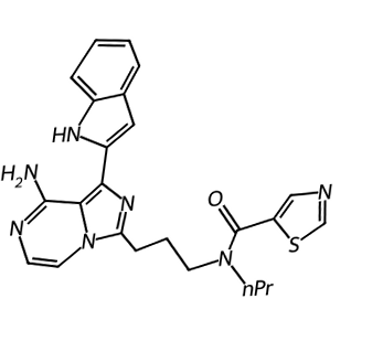 CCCN(CCCc1nc(-c2cc3ccccc3[nH]2)c2c(N)nccn12)C(=O)c1cncs1